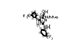 CN[C@@](CO)(C(=O)O)c1nc(Nc2cccc(C(F)(F)F)c2)nc(Nc2cccc(C(F)(F)F)c2)n1